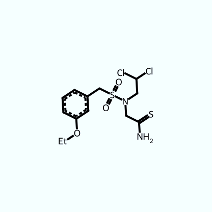 CCOc1cccc(CS(=O)(=O)N(CC(N)=S)CC(Cl)Cl)c1